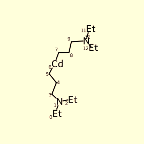 CCN(CC)CC[CH2][Cd][CH2]CCN(CC)CC